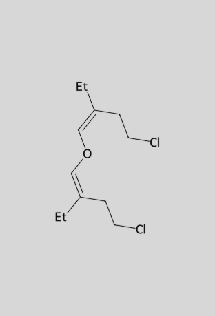 CCC(=COC=C(CC)CCCl)CCCl